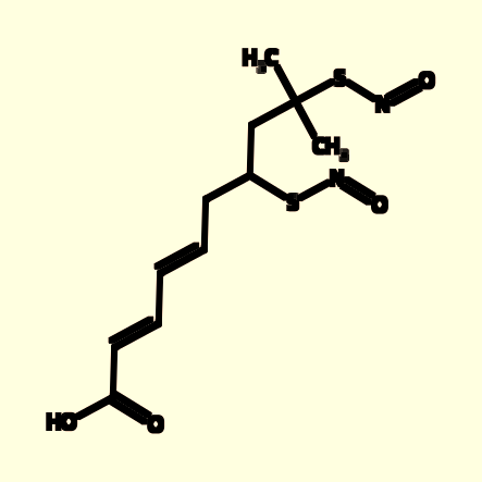 CC(C)(CC(C/C=C/C=C/C(=O)O)SN=O)SN=O